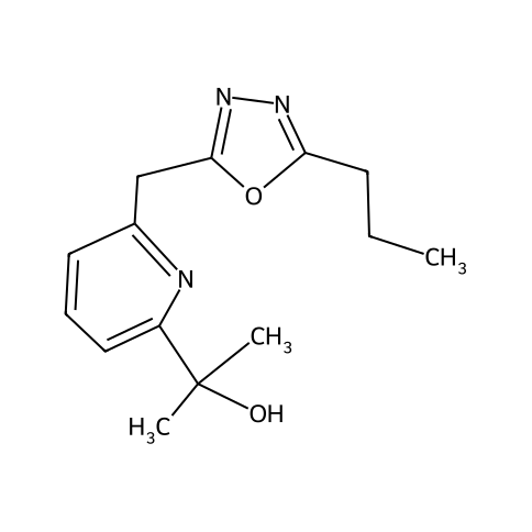 CCCc1nnc(Cc2cccc(C(C)(C)O)n2)o1